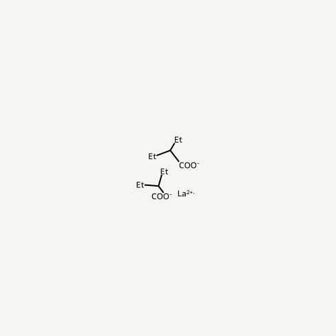 CCC(CC)C(=O)[O-].CCC(CC)C(=O)[O-].[La+2]